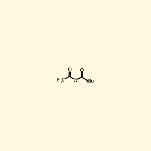 CCC(C)C(=O)OC(=O)C(F)(F)F